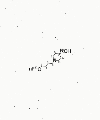 CCCOCCCCN1CCC(=NO)CC1